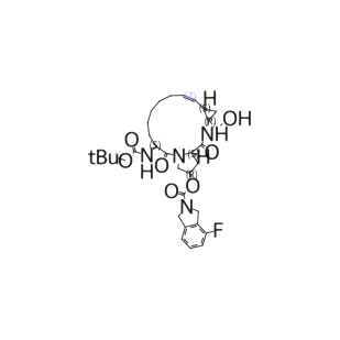 CC(C)(C)OC(=O)N[C@H]1CCCCC/C=C\[C@@H]2C[C@@]2(CO)NC(=O)[C@@H]2C[C@@H](OC(=O)N3Cc4cccc(F)c4C3)CN2C1=O